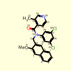 COc1cc2ccccc2cc1CN(C(=O)c1ccncc1C)c1cc(Cl)cc(Cl)c1